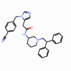 N#Cc1ccc(Cn2cncc2CC(=O)NC2CCCN(CC(c3ccccc3)c3ccccc3)C2)cc1